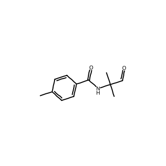 Cc1ccc(C(=O)NC(C)(C)C=O)cc1